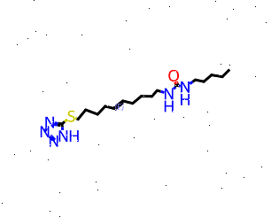 CCCCCNC(=O)NCCCC/C=C/CCCCSc1nnn[nH]1